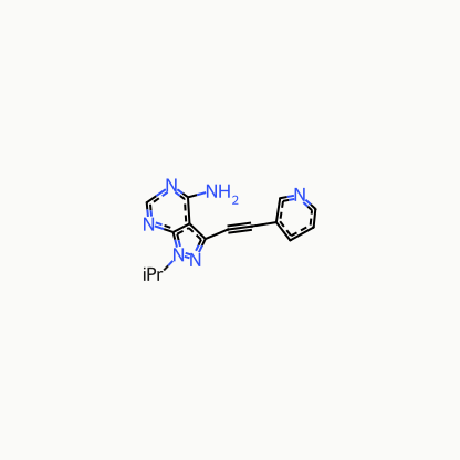 CC(C)n1nc(C#Cc2cccnc2)c2c(N)ncnc21